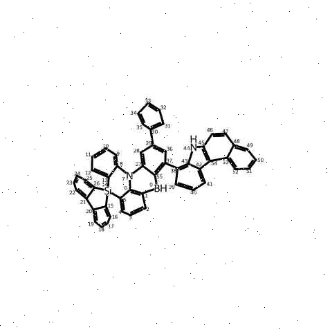 B1c2cccc3c2N(c2ccccc2[Si]32c3ccccc3-c3ccccc32)c2cc(-c3ccccc3)cc(-c3cccc4c3[nH]c3ccc5ccccc5c34)c21